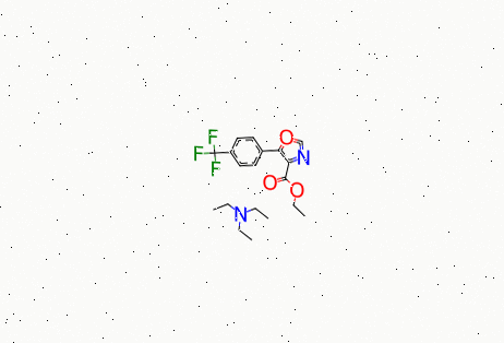 CCN(CC)CC.CCOC(=O)c1ncoc1-c1ccc(C(F)(F)F)cc1